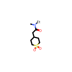 CCN(C)C(=O)CC1CCS(=O)(=O)CC1